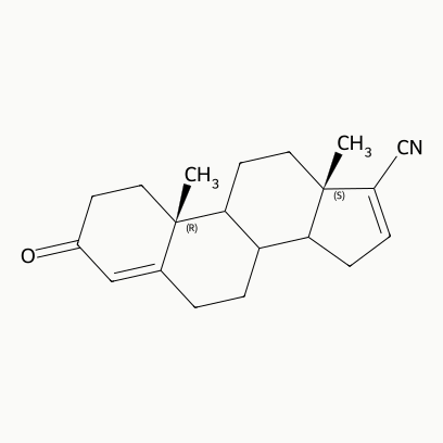 C[C@]12CCC(=O)C=C1CCC1C2CC[C@]2(C)C(C#N)=CCC12